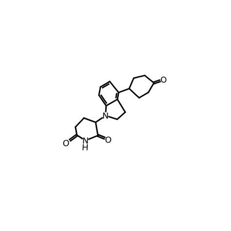 O=C1CCC(c2cccc3c2CCN3C2CCC(=O)NC2=O)CC1